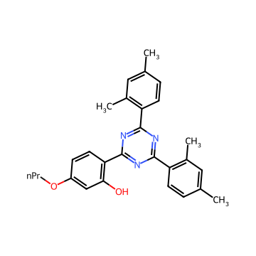 [CH2]CCOc1ccc(-c2nc(-c3ccc(C)cc3C)nc(-c3ccc(C)cc3C)n2)c(O)c1